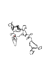 COc1cccc2c(C(=O)NCc3ccc(Cl)c(Cl)c3)cn(CCCN3C4CCC3CN(CC(=O)c3cccc(Cl)c3)C4)c12